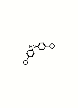 c1cc(C2CCC2)ccc1Nc1ccc(C2CCC2)cc1